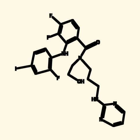 O=C(c1ccc(F)c(F)c1Nc1ccc(I)cc1F)N(CCO)CCCNc1ncccn1